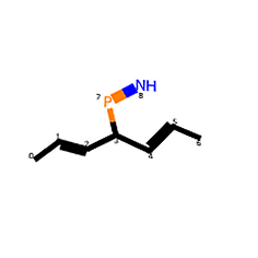 CC=CC(C=CC)P=N